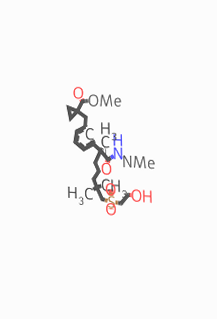 CNNC(=O)[C@](C)(CCCC(C)(C)CS(=O)(=O)CCO)c1cccc(CC2(C(=O)OC)CC2)c1